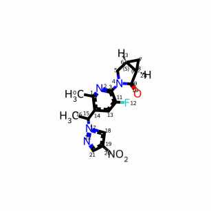 Cc1nc(N2C[C@H]3C[C@H]3C2=O)c(F)cc1C(C)n1cc([N+](=O)[O-])cn1